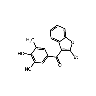 CCc1oc2ccccc2c1C(=O)c1cc(C)c(O)c(C#N)c1